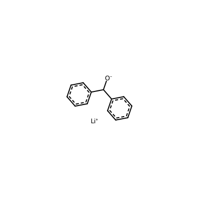 [Li+].[O-]C(c1ccccc1)c1ccccc1